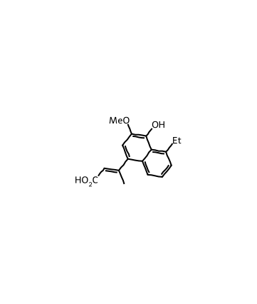 CCc1cccc2c(/C(C)=C/C(=O)O)cc(OC)c(O)c12